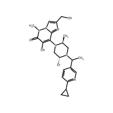 CC[C@@H]1CN(c2c(C#N)c(=O)n(C)n3cc(CC#N)nc23)[C@@H](C)CN1C(C)c1ccc(C2CC2)nc1